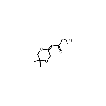 CCOC(=O)C(=O)C=C1COC(C)(C)CO1